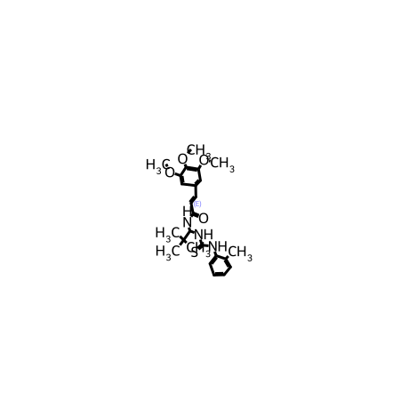 COc1cc(/C=C/C(=O)NC(NC(=S)Nc2ccccc2C)C(C)(C)C)cc(OC)c1OC